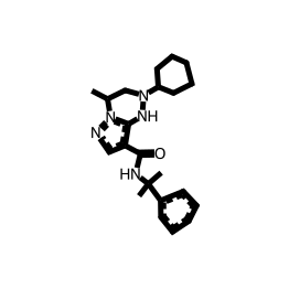 CC1CN(C2CCCCC2)Nc2c(C(=O)NC(C)(C)c3ccccc3)cnn21